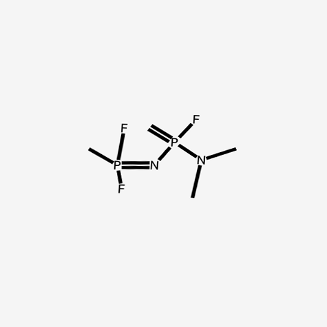 C=P(F)(N=P(C)(F)F)N(C)C